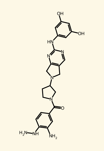 NNc1ccc(C(=O)N2CCC(N3Cc4cnc(Nc5cc(O)cc(O)c5)nc4C3)C2)cc1N